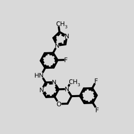 Cc1cn(-c2ccc(Nc3ncc4c(n3)N(C)C(c3cc(F)cc(F)c3)CO4)cc2F)cn1